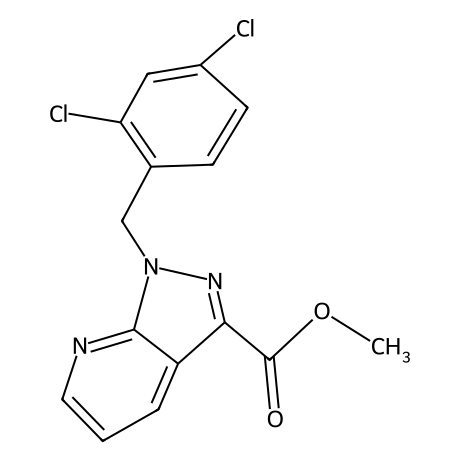 COC(=O)c1nn(Cc2ccc(Cl)cc2Cl)c2ncccc12